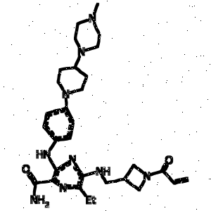 C=CC(=O)N1CC(CNc2nc(Nc3ccc(N4CCC(N5CCN(C)CC5)CC4)cc3)c(C(N)=O)nc2CC)C1